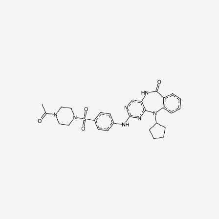 CC(=O)N1CCN(S(=O)(=O)c2ccc(Nc3ncc4c(n3)N(C3CCCC3)c3ccccc3C(=O)N4)cc2)CC1